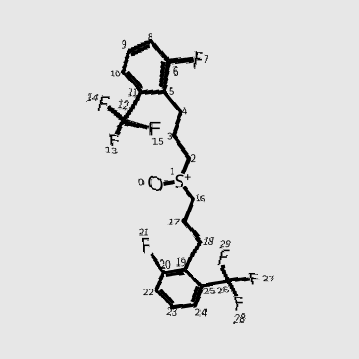 [O-][S+](CCCc1c(F)cccc1C(F)(F)F)CCCc1c(F)cccc1C(F)(F)F